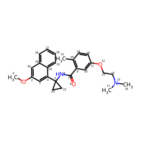 COc1cc(C2(NC(=O)c3cc(OCCN(C)C)ccc3C)CC2)c2ccccc2c1